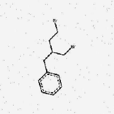 BrCCC(CBr)Cc1ccccc1